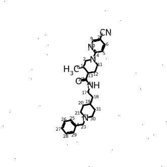 C[C@H]1CN(c2ccc(C#N)cn2)CCC1C(=O)NCCC1CCN(Cc2ccccc2)CC1